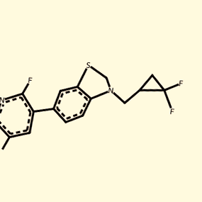 Cc1cnc(F)c(-c2ccc3c(c2)SCN3CC2CC2(F)F)c1